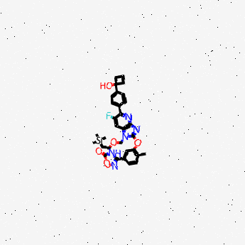 Cc1ccc(-c2noc(=O)[nH]2)cc1Oc1nc2nc(-c3ccc(C4(O)CCC4)cc3)c(F)cc2n1COCC[Si](C)(C)C